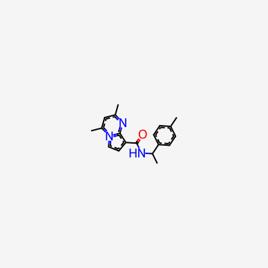 Cc1ccc(C(C)NC(=O)c2ccn3c(C)cc(C)nc23)cc1